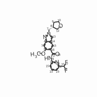 COc1cc2nn(C[C@@H]3CCOC3)cc2cc1C(=O)Nc1cccc(C(F)F)n1